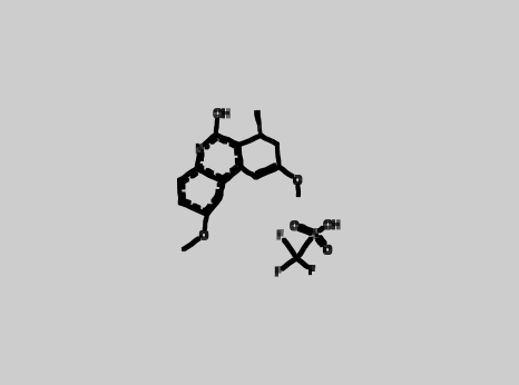 COC1=Cc2c(c(O)nc3ccc(OC)cc23)[C@@H](C)C1.O=S(=O)(O)C(F)(F)F